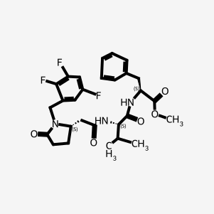 COC(=O)[C@H](Cc1ccccc1)NC(=O)[C@@H](NC(=O)C[C@@H]1CCC(=O)N1Cc1cc(F)cc(F)c1F)C(C)C